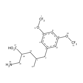 CC(Cc1cc(OC(F)(F)F)cc(OC(F)(F)F)c1)CC(CN)C(=O)O